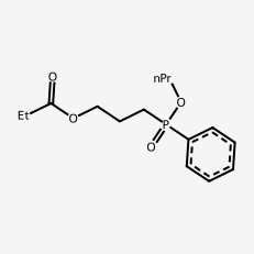 CCCOP(=O)(CCCOC(=O)CC)c1ccccc1